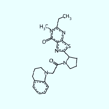 CCc1nc2sc(C3CCCN3C(=O)CN3CCCc4ccccc43)nc2c(=O)n1C